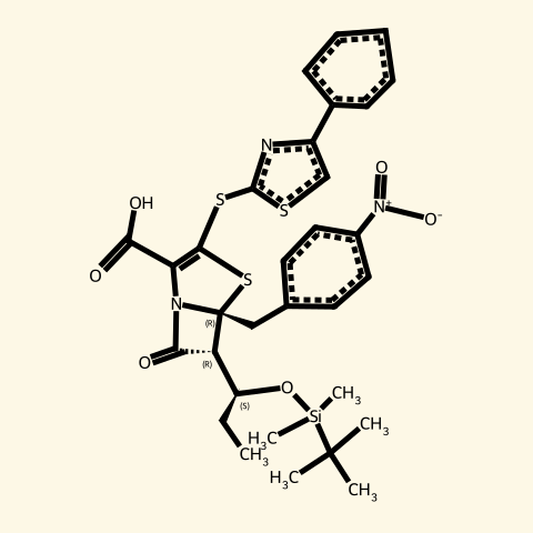 CC[C@H](O[Si](C)(C)C(C)(C)C)[C@@H]1C(=O)N2C(C(=O)O)=C(Sc3nc(-c4ccccc4)cs3)S[C@]12Cc1ccc([N+](=O)[O-])cc1